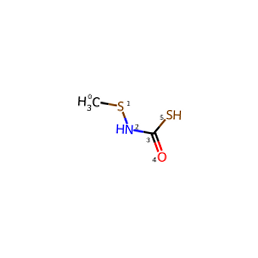 CSNC(=O)S